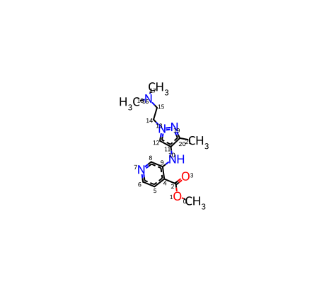 COC(=O)c1ccncc1Nc1cn(CCN(C)C)nc1C